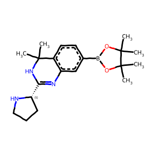 CC1(C)NC([C@@H]2CCCN2)=Nc2cc(B3OC(C)(C)C(C)(C)O3)ccc21